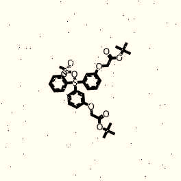 CC(C)(C)OC(=O)COc1cccc(S(OS(C)(=O)=O)(c2ccccc2)c2cccc(OCC(=O)OC(C)(C)C)c2)c1